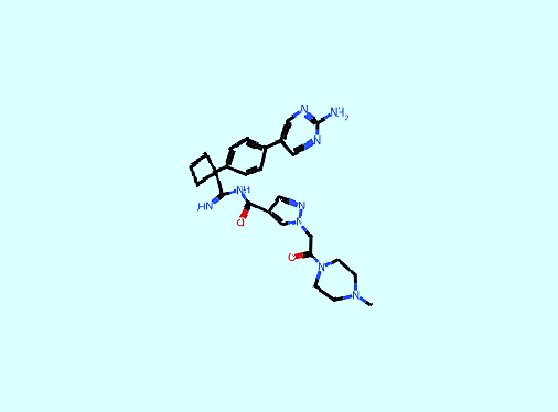 CN1CCN(C(=O)Cn2cc(C(=O)NC(=N)C3(c4ccc(-c5cnc(N)nc5)cc4)CCC3)cn2)CC1